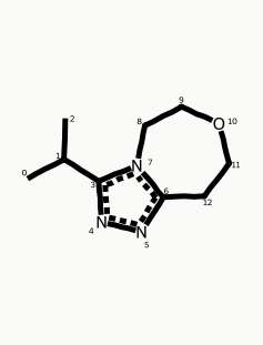 CC(C)c1nnc2n1CCOCC2